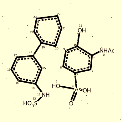 CC(=O)Nc1cc([As](=O)(O)O)ccc1O.O=S(=O)(O)Nc1cccc(-c2ccccc2)c1